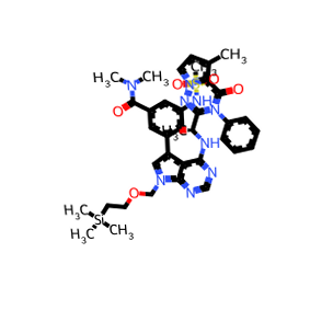 Cc1ccn2nc([C@H](C)Nc3ncnc4c3c(-c3cc(NS(C)(=O)=O)cc(C(=O)N(C)C)c3)cn4COCC[Si](C)(C)C)n(-c3ccccc3)c(=O)c12